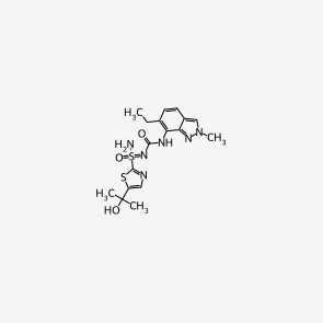 CCc1ccc2cn(C)nc2c1NC(=O)N=[S@](N)(=O)c1ncc(C(C)(C)O)s1